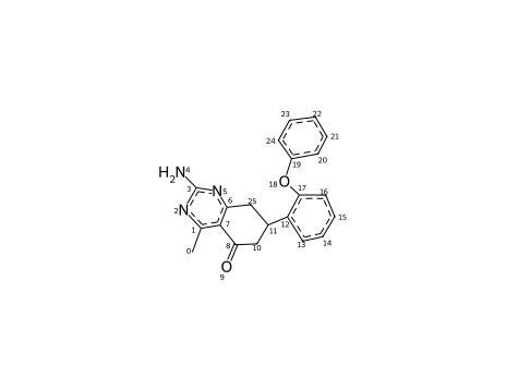 Cc1nc(N)nc2c1C(=O)CC(c1ccccc1Oc1ccccc1)C2